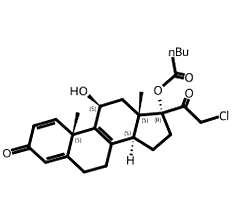 CCCCC(=O)O[C@]1(C(=O)CCl)CC[C@H]2C3=C([C@@H](O)C[C@@]21C)[C@@]1(C)C=CC(=O)C=C1CC3